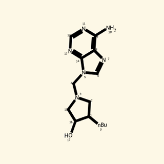 CCCCC1CN(Cn2cnc3c(N)ncnc32)CC1O